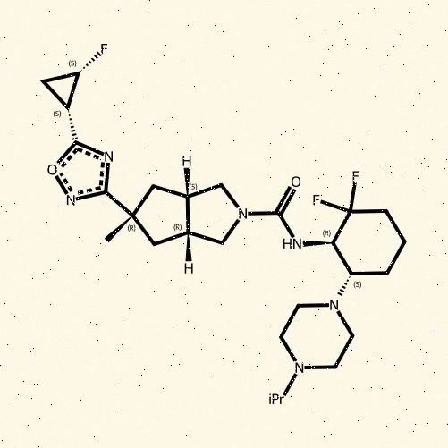 CC(C)N1CCN([C@H]2CCCC(F)(F)[C@@H]2NC(=O)N2C[C@@H]3C[C@](C)(c4noc([C@@H]5C[C@@H]5F)n4)C[C@@H]3C2)CC1